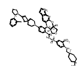 Cc1ccccc1[C@@H]1CCCN1C1CC2(CCN(c3ccc(C(=O)NS(=O)(=O)c4ccc(NC[C@]5(F)CC[C@@](C)(O)CC5)c([N+](=O)[O-])c4)c(N4c5cc6cc[nH]c6nc5O[C@@H]5COC[C@H]54)c3)CC2)C1